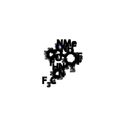 CN/C=C(\C(=N)C(=O)C1CCCC(F)(F)C[C@@H](C)C(CNc2ccc(C(F)(F)F)cn2)C1)c1cccc(F)c1